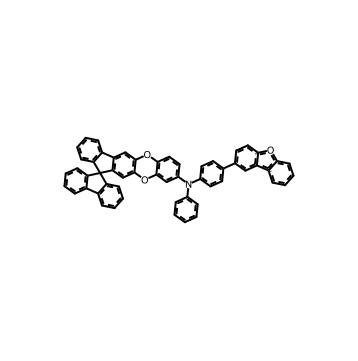 c1ccc(N(c2ccc(-c3ccc4oc5ccccc5c4c3)cc2)c2ccc3c(c2)Oc2cc4c(cc2O3)-c2ccccc2C42c3ccccc3-c3ccccc32)cc1